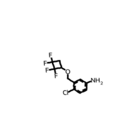 Nc1ccc(Cl)c(COC2CC(F)(F)C2(F)F)c1